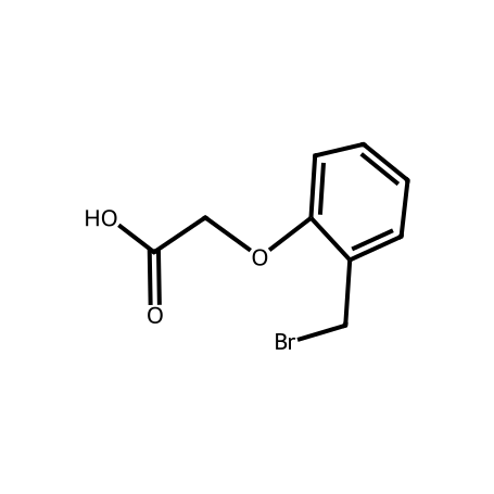 O=C(O)COc1ccccc1CBr